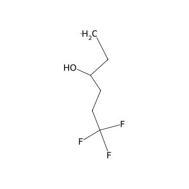 [CH2]CC(O)CCC(F)(F)F